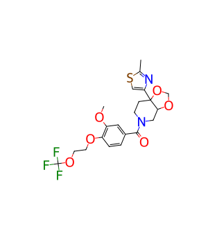 COc1cc(C(=O)N2CCC3(c4csc(C)n4)OCOC3C2)ccc1OCCOC(F)(F)F